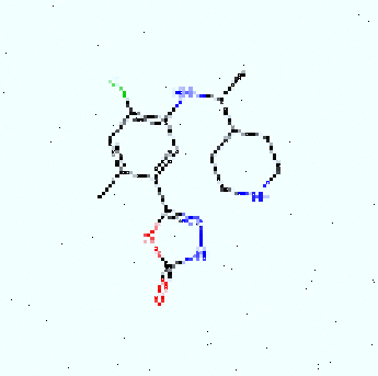 Cc1cc(Cl)c(N[C@@H](C)C2CCNCC2)cc1-c1n[nH]c(=O)o1